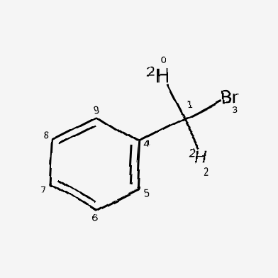 [2H]C([2H])(Br)c1ccccc1